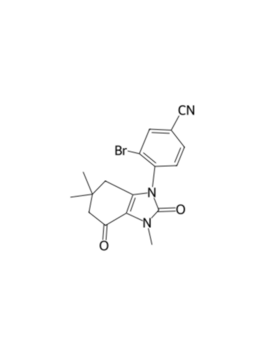 Cn1c2c(n(-c3ccc(C#N)cc3Br)c1=O)CC(C)(C)CC2=O